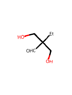 CCC(C=O)(CO)CO